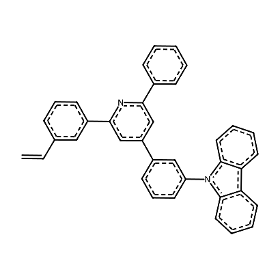 C=Cc1cccc(-c2cc(-c3cccc(-n4c5ccccc5c5ccccc54)c3)cc(-c3ccccc3)n2)c1